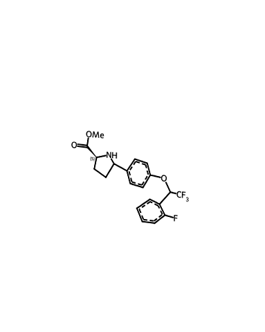 COC(=O)[C@@H]1CCC(c2ccc(OC(c3ccccc3F)C(F)(F)F)cc2)N1